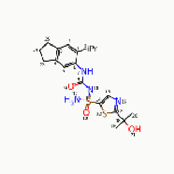 CC(C)c1cc2c(cc1NC(=O)N=[S@](N)(=O)c1cnc(C(C)(C)O)s1)CCC2